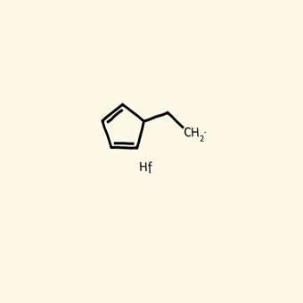 [CH2]CC1C=CC=C1.[Hf]